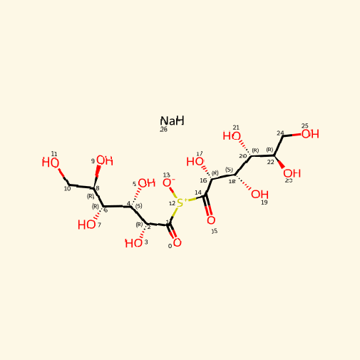 O=C([C@H](O)[C@@H](O)[C@H](O)[C@H](O)CO)[S+]([O-])C(=O)[C@H](O)[C@@H](O)[C@H](O)[C@H](O)CO.[NaH]